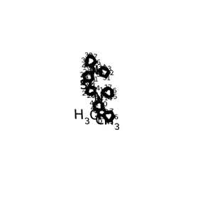 CC1(C)c2ccccc2-c2cc(N(c3ccccc3)c3ccc4sc5ccc(N(c6ccccc6)c6ccccc6)cc5c4c3)ccc21